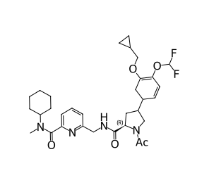 CC(=O)N1CC(C2C=CC(OC(F)F)=C(OCC3CC3)C2)C[C@@H]1C(=O)NCc1cccc(C(=O)N(C)C2CCCCC2)n1